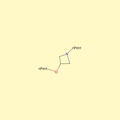 CCCCCOC1CN(CCCCC)C1